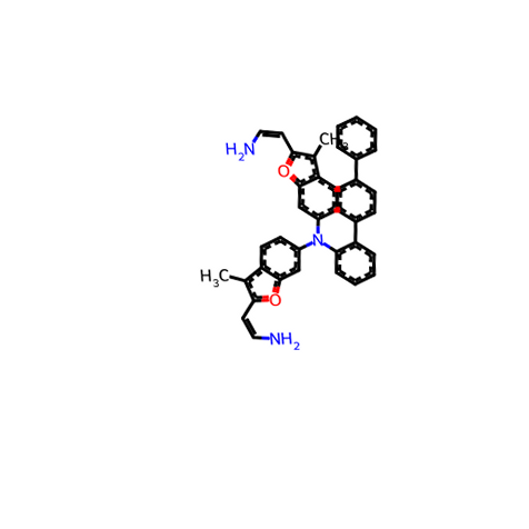 Cc1c(/C=C\N)oc2cc(N(c3ccc4c(C)c(/C=C\N)oc4c3)c3ccccc3-c3ccc(-c4ccccc4)cc3)ccc12